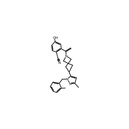 C=C(c1cc(O)ccc1C#N)N1CC2(CC(c3cc(C)nn3Cc3ccccc3C)C2)C1